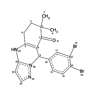 CC1(C)CCC2=C(C1=O)C(c1ccc(Br)c(Br)c1)n1nccc1N2